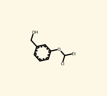 CCC(Cl)Oc1cccc(CO)c1